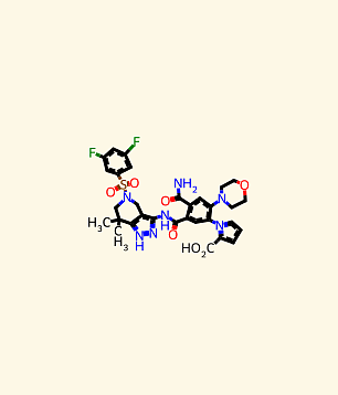 CC1(C)CN(S(=O)(=O)c2cc(F)cc(F)c2)Cc2c(NC(=O)c3cc(-n4cccc4C(=O)O)c(N4CCOCC4)cc3C(N)=O)n[nH]c21